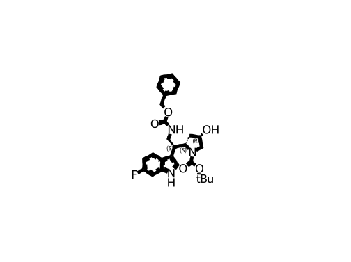 CC(C)(C)OC(=O)N1C[C@H](O)C[C@H]1[C@H](CNC(=O)OCc1ccccc1)c1c[nH]c2cc(F)ccc12